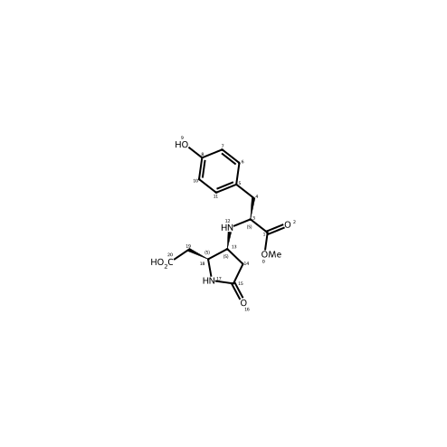 COC(=O)[C@H](Cc1ccc(O)cc1)N[C@H]1CC(=O)N[C@H]1CC(=O)O